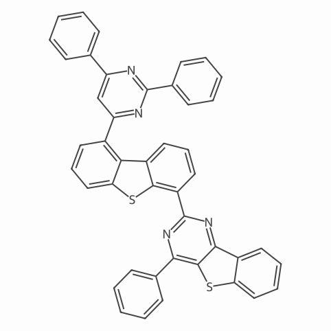 c1ccc(-c2cc(-c3cccc4sc5c(-c6nc(-c7ccccc7)c7sc8ccccc8c7n6)cccc5c34)nc(-c3ccccc3)n2)cc1